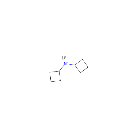 C1CC([N-]C2CCC2)C1.[Li+]